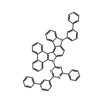 c1ccc(-c2cccc(-c3nc(-c4ccccc4)nc(-n4c5ccc6c(c7ccccc7n6-c6cccc(-c7ccccc7)c6)c5c5c6ccccc6c6ccccc6c54)n3)c2)cc1